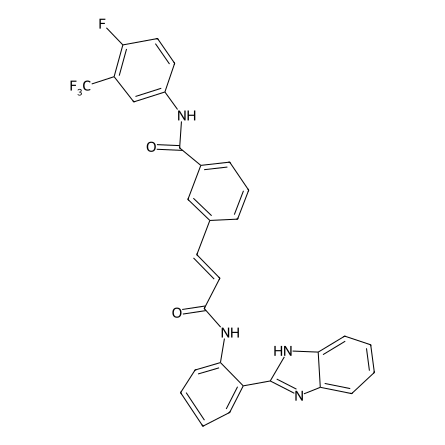 O=C(/C=C/c1cccc(C(=O)Nc2ccc(F)c(C(F)(F)F)c2)c1)Nc1ccccc1-c1nc2ccccc2[nH]1